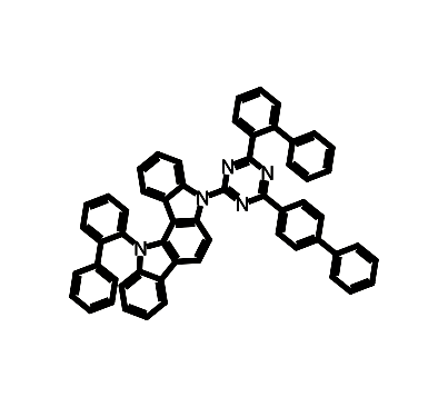 c1ccc(-c2ccc(-c3nc(-c4ccccc4-c4ccccc4)nc(-n4c5ccccc5c5c4ccc4c6ccccc6n(-c6ccccc6-c6ccccc6)c45)n3)cc2)cc1